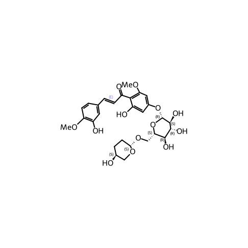 COc1ccc(/C=C/C(=O)c2c(O)cc(O[C@H]3O[C@@H](CO[C@H]4CC[C@H](O)CO4)[C@H](O)[C@@H](O)[C@@H]3O)cc2OC)cc1O